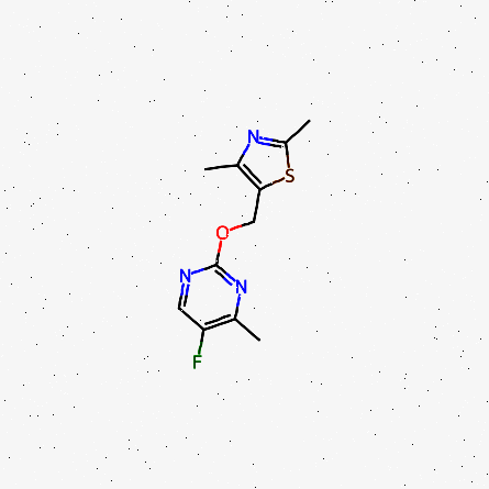 Cc1nc(C)c(COc2ncc(F)c(C)n2)s1